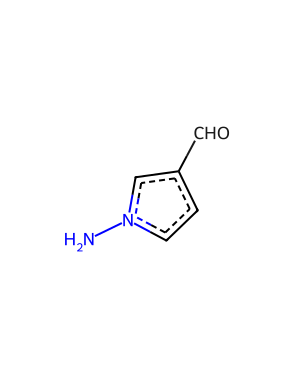 Nn1ccc(C=O)c1